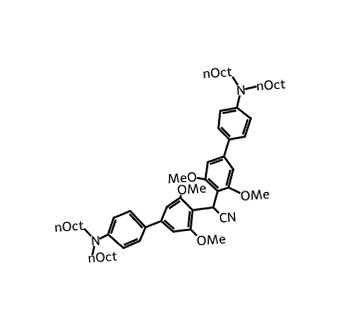 CCCCCCCCN(CCCCCCCC)c1ccc(-c2cc(OC)c(C(C#N)c3c(OC)cc(-c4ccc(N(CCCCCCCC)CCCCCCCC)cc4)cc3OC)c(OC)c2)cc1